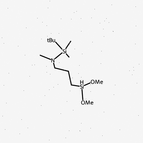 CO[SiH](CCCN(C)[Si](C)(C)C(C)(C)C)OC